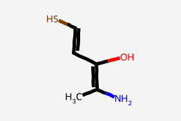 C/C(N)=C(O)\C=C\S